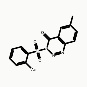 CC(=O)c1ccccc1S(=O)(=O)n1nnc2ccc(C)cc2c1=O